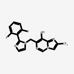 CCCc1c(Cn2ccnc2-c2c(F)cccc2F)ncn2cc(C(F)(F)F)nc12